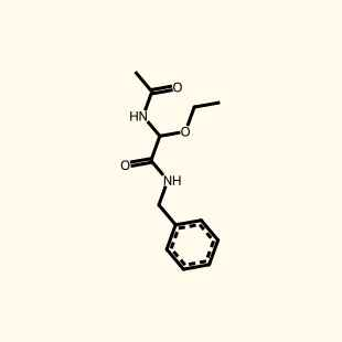 CCOC(NC(C)=O)C(=O)NCc1ccccc1